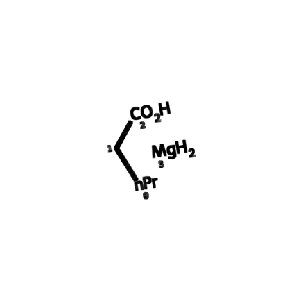 CCCCC(=O)O.[MgH2]